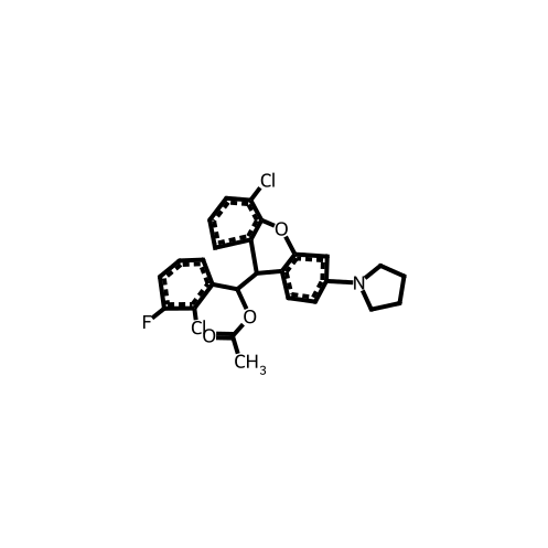 CC(=O)OC(c1cccc(F)c1Cl)C1c2ccc(N3CCCC3)cc2Oc2c(Cl)cccc21